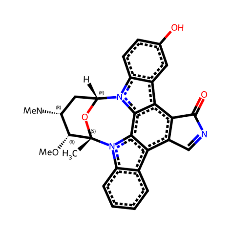 CN[C@@H]1C[C@H]2O[C@@](C)([C@@H]1OC)n1c3ccccc3c3c4c(c5c6cc(O)ccc6n2c5c31)C(=O)N=C4